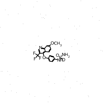 COc1ccc2c(Oc3ccc(NS(N)(=O)=O)cc3)c(C(F)(F)F)cnc2c1